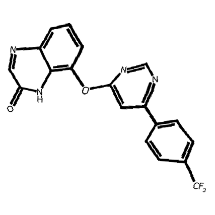 O=c1cnc2cccc(Oc3cc(-c4ccc(C(F)(F)F)cc4)ncn3)c2[nH]1